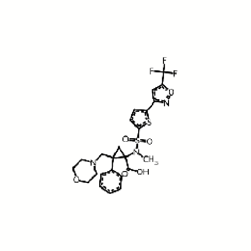 CN(C1(C(=O)O)CC1(CN1CCOCC1)c1ccccc1)S(=O)(=O)c1ccc(-c2cc(C(F)(F)F)on2)s1